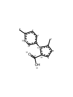 Cc1ccc(-n2c(C)ccc2C(=O)O)cn1